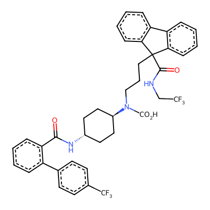 O=C(N[C@H]1CC[C@H](N(CCCC2(C(=O)NCC(F)(F)F)c3ccccc3-c3ccccc32)C(=O)O)CC1)c1ccccc1-c1ccc(C(F)(F)F)cc1